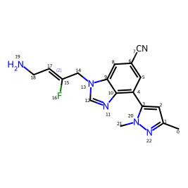 Cc1cc(-c2cc(C#N)cc3c2ncn3C/C(F)=C/CN)n(C)n1